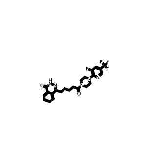 O=C(CCCCc1n[nH]c(=O)c2ccccc12)N1CCN(c2ncc(C(F)(F)F)cc2F)CC1